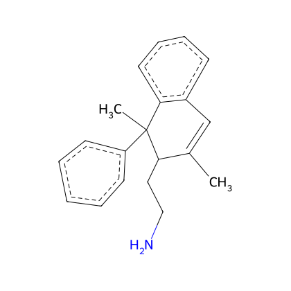 CC1=Cc2ccccc2C(C)(c2ccccc2)C1CCN